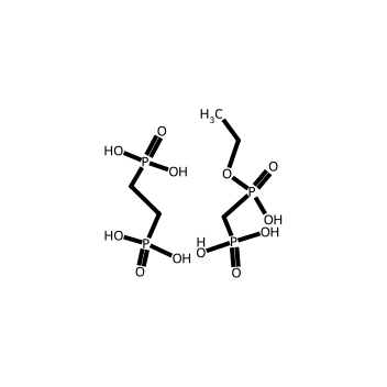 CCOP(=O)(O)CP(=O)(O)O.O=P(O)(O)CCP(=O)(O)O